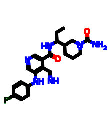 CCC(NC(=O)c1cncc(Nc2ccc(F)cc2)c1C=N)C1CCCN(C(N)=O)C1